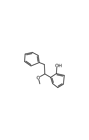 COC(Cc1ccccc1)c1ccccc1O